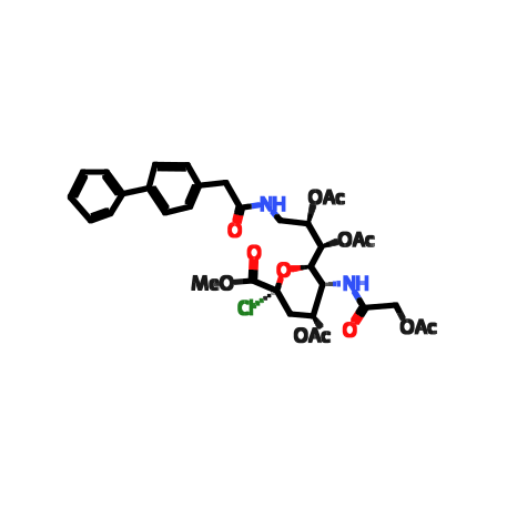 COC(=O)[C@]1(Cl)C[C@H](OC(C)=O)[C@@H](NC(=O)COC(C)=O)[C@H]([C@H](OC(C)=O)[C@@H](CNC(=O)Cc2ccc(-c3ccccc3)cc2)OC(C)=O)O1